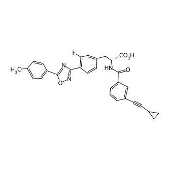 Cc1ccc(-c2nc(-c3ccc(C[C@@H](NC(=O)c4cccc(C#CC5CC5)c4)C(=O)O)cc3F)no2)cc1